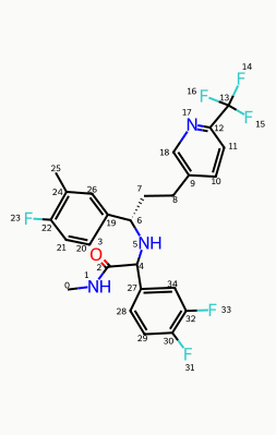 CNC(=O)C(N[C@@H](CCc1ccc(C(F)(F)F)nc1)c1ccc(F)c(C)c1)c1ccc(F)c(F)c1